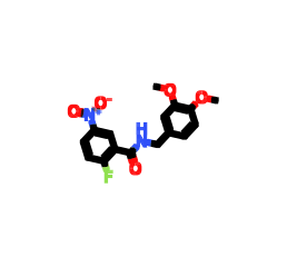 COc1ccc(CNC(=O)c2cc([N+](=O)[O-])ccc2F)cc1OC